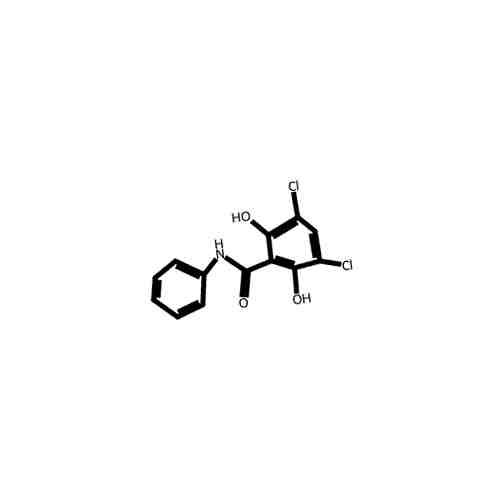 O=C(Nc1ccccc1)c1c(O)c(Cl)cc(Cl)c1O